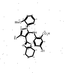 CCc1ccc(Nc2c(-c3nc4c(s3)CCCC4)c(CC)nn2-c2ccccc2OC)c(C(=O)O)c1